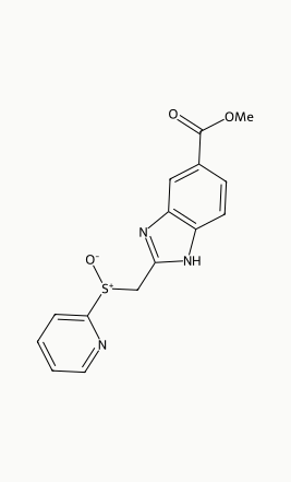 COC(=O)c1ccc2[nH]c(C[S+]([O-])c3ccccn3)nc2c1